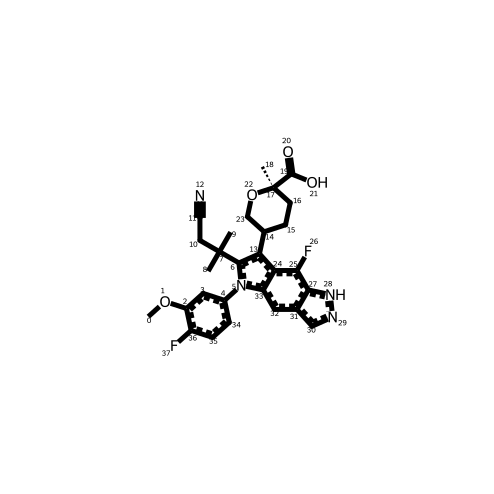 COc1cc(-n2c(C(C)(C)CC#N)c(C3CC[C@](C)(C(=O)O)OC3)c3c(F)c4[nH]ncc4cc32)ccc1F